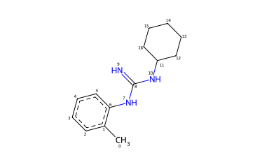 Cc1ccccc1NC(=N)NC1CCCCC1